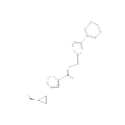 O=C(NCc1nnc(-c2ccccc2)s1)c1cn([C@@H]2C[C@H]2CO)nn1